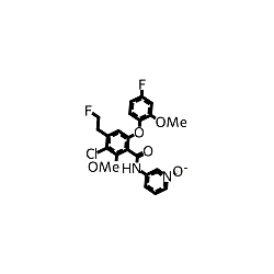 COc1cc(F)ccc1Oc1cc(CCF)c(Cl)c(OC)c1C(=O)Nc1ccc[n+]([O-])c1